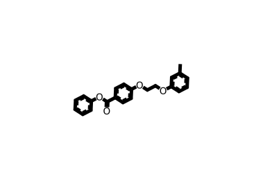 Cc1cccc(OCCOc2ccc(C(=O)Oc3ccccc3)cc2)c1